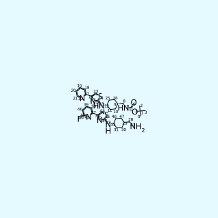 CC(C)(C)OC(=O)NC[C@H]1CC[C@H](Nc2nc(-c3ccccn3)cs2)CC1.NC[C@H]1CC[C@H](Nc2nc(-c3cccc(F)n3)cs2)CC1